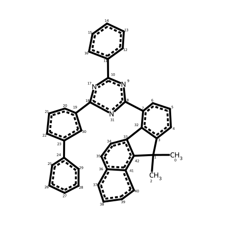 CC1(C)c2cccc(-c3nc(-c4ccccc4)nc(-c4cccc(-c5ccccc5)c4)n3)c2-c2ccc3ccccc3c21